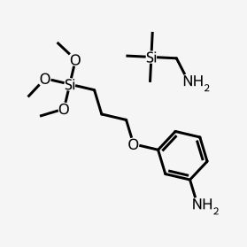 CO[Si](CCCOc1cccc(N)c1)(OC)OC.C[Si](C)(C)CN